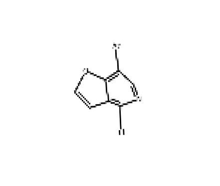 CC(=O)c1cnc(Cl)c2ccoc12